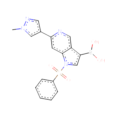 Cn1cc(-c2cc3c(cn2)c(B(O)O)cn3S(=O)(=O)c2ccccc2)cn1